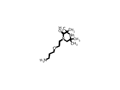 CC1(C)CN(CCOCCCN)C(=O)C(C)(C)N1